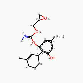 CCCCCc1cc(O)c(C2C=C(C)CCC2)c(O/C(=N\C)OCC2CO2)c1